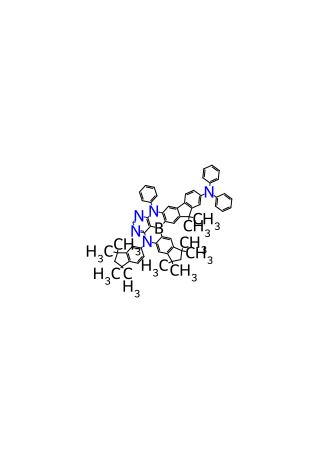 CC1(C)CC(C)(C)c2cc(N3c4cc5c(cc4B4c6cc7c(cc6N(c6ccccc6)c6ncnc3c64)-c3ccc(N(c4ccccc4)c4ccccc4)cc3C7(C)C)C(C)(C)CC5(C)C)ccc21